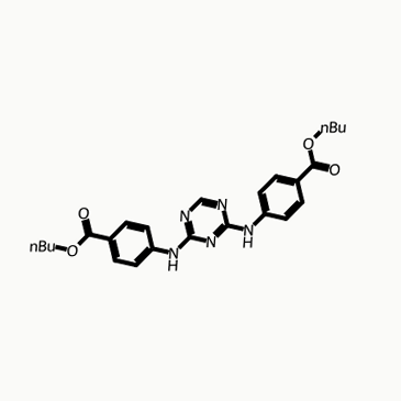 CCCCOC(=O)c1ccc(Nc2ncnc(Nc3ccc(C(=O)OCCCC)cc3)n2)cc1